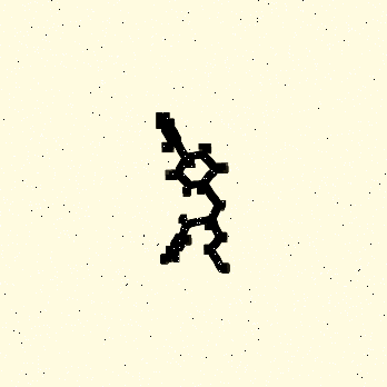 CCCC(CC#N)CC1CCC(C#N)CC1